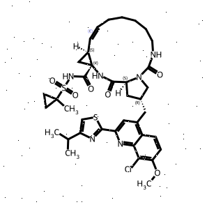 COc1ccc2c(C[C@@H]3C[C@H]4C(=O)N[C@]5(C(=O)NS(=O)(=O)C6(C)CC6)C[C@H]5/C=C\CCCCCNC(=O)N4C3)cc(-c3nc(C(C)C)cs3)nc2c1Cl